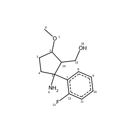 COC1CCC(N)(c2ccccc2F)C1CO